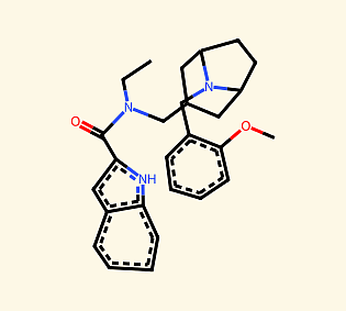 CCN(CC1CC2CCC(C1)N2Cc1ccccc1OC)C(=O)c1cc2ccccc2[nH]1